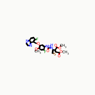 COC(=O)c1scc(NC(=O)Nc2cc(OCc3c(F)ccc4nccnc34)c(OC)cc2F)c1C(=O)OC